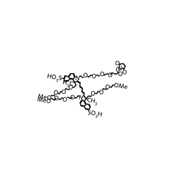 COCCOCCOCCOCC[N+]1=C(/C=C/C=C/C=C2/N(CCOCCOCCOCCOCCC(=O)ON3C(=O)CCC3=O)c3ccc4cc(S(=O)(=O)O)ccc4c3C2(C)CCOCCOCCOCCOC)C(C)(CCOCCOCCOCCOC)c2c1ccc1cc(S(=O)(=O)O)ccc21